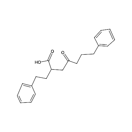 O=C(CCCc1ccccc1)CC(CCc1ccccc1)C(=O)O